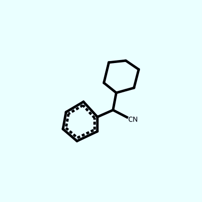 N#CC(c1ccccc1)C1CCCCC1